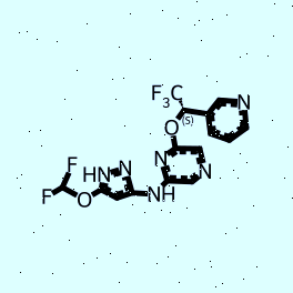 FC(F)Oc1cc(Nc2cncc(O[C@@H](c3cccnc3)C(F)(F)F)n2)n[nH]1